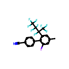 Cc1[c]c(I)c(-c2ccc(C#N)cc2)c(C(F)(C(F)(F)F)C(F)(F)C(F)(F)F)c1